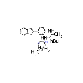 C=C(C)/C=C\C(=C/C)NC(CCCC)C(=C)Nc1ccc(C2=Cc3ccccc3C2)cc1